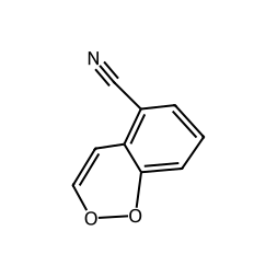 N#Cc1cccc2c1C=COO2